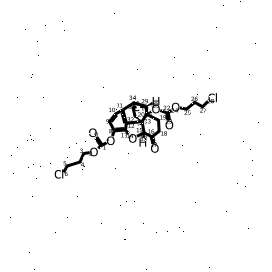 O=C(OCCCCl)Oc1ccc2c3c1O[C@H]1C(=O)CC[C@@]4(OC(=O)OCCCCl)[C@H](CCC[C@]314)C2